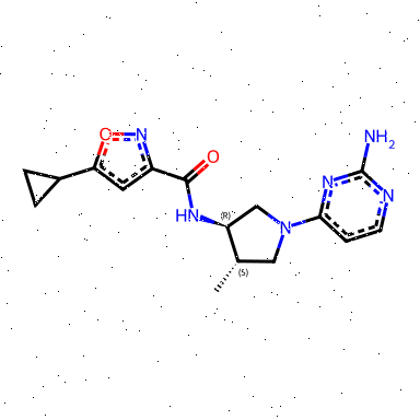 C[C@H]1CN(c2ccnc(N)n2)C[C@@H]1NC(=O)c1cc(C2CC2)on1